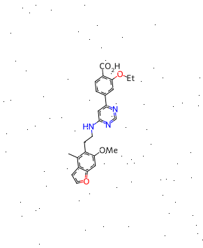 CCOc1cc(-c2cc(NCCc3c(OC)cc4occc4c3C)ncn2)ccc1C(=O)O